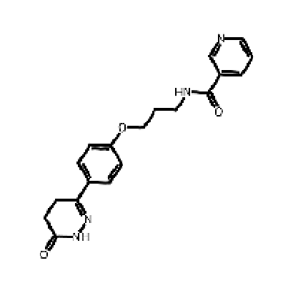 O=C1CCC(c2ccc(OCCCNC(=O)c3cccnc3)cc2)=NN1